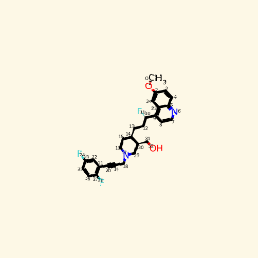 COc1ccc2nccc([C@@H](F)CC[C@@H]3CCN(CC#Cc4cc(F)ccc4F)C[C@@H]3CO)c2c1